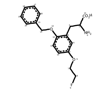 NC(Cc1cc(OCCF)ccc1OCc1ccccc1)C(=O)O